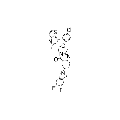 Cc1cc(-c2cc(Cl)ccc2OCCn2c(C)nc3c(c2=O)C[C@H](N2Cc4cc(F)c(F)cc4C2)CC3)c2sccc2n1